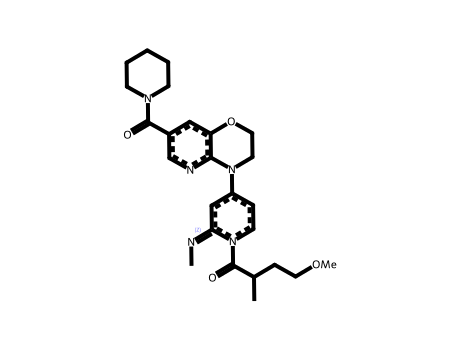 C/N=c1/cc(N2CCOc3cc(C(=O)N4CCCCC4)cnc32)ccn1C(=O)C(C)CCOC